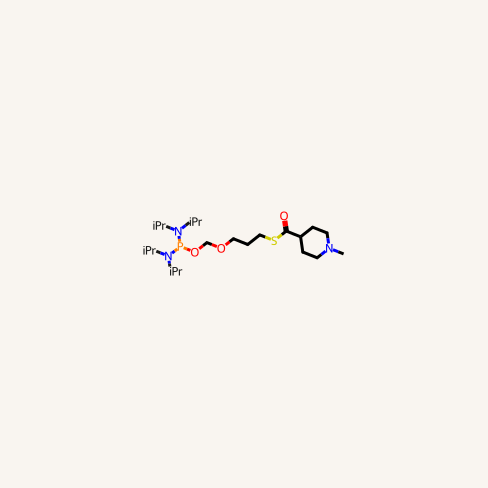 CC(C)N(C(C)C)P(OCOCCCSC(=O)C1CCN(C)CC1)N(C(C)C)C(C)C